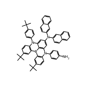 CC(C)(C)c1ccc(N2c3ccc(C(C)(C)C)cc3B3c4cc(C(C)(C)C)ccc4N(c4ccc(N)cc4)c4cc(N(c5ccc6ccccc6c5)c5ccc6ccccc6c5)cc2c43)cc1